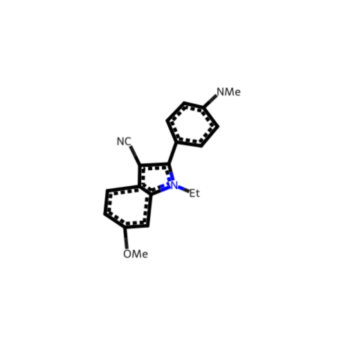 CCn1c(-c2ccc(NC)cc2)c(C#N)c2ccc(OC)cc21